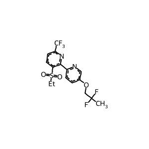 CCS(=O)(=O)c1ccc(C(F)(F)F)nc1-c1ccc(OCC(C)(F)F)cn1